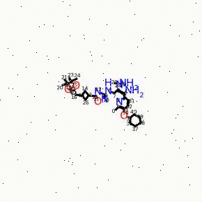 Cc1nc(/C(N)=C(\CNc2noc(C3CC(CB4OC(C)(C)C(C)(C)O4)C3)n2)N(C)N)ccc1OC1CCCCC1